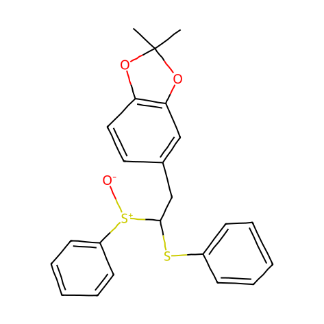 CC1(C)Oc2ccc(CC(Sc3ccccc3)[S+]([O-])c3ccccc3)cc2O1